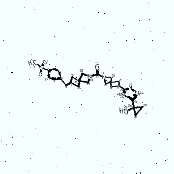 CS(=O)(=O)c1ccc(CC2CC3(C2)CN(C(=O)N2CC4(CC(c5nnc(C6(O)CC6)[nH]5)C4)C2)C3)cc1